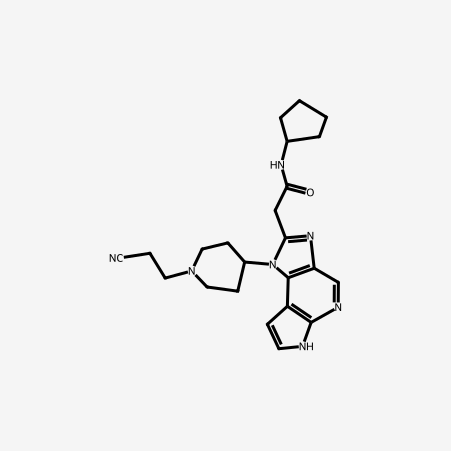 N#CCCN1CCC(n2c(CC(=O)NC3CCCC3)nc3cnc4[nH]ccc4c32)CC1